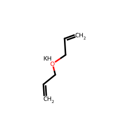 C=CCOCC=C.[KH]